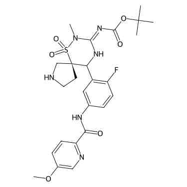 COc1ccc(C(=O)Nc2ccc(F)c(C3NC(=NC(=O)OC(C)(C)C)N(C)S(=O)(=O)[C@]34CCNC4)c2)nc1